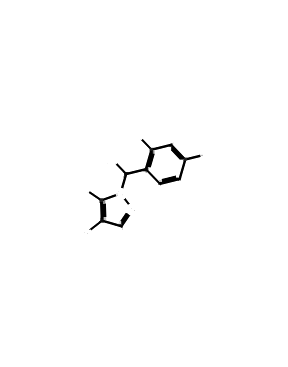 Cc1c(N)cnn1C(C)c1ccc(C(F)(F)F)cc1C(F)(F)F